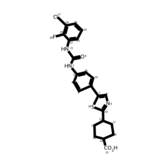 O=C(Nc1ccc(-c2cnc(C3CCC(C(=O)O)CC3)s2)cc1)Nc1cccc(Cl)c1F